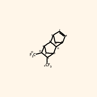 FC(F)(F)C1C2CC(C3C4C=CC(C4)C23)C1C(F)(F)F